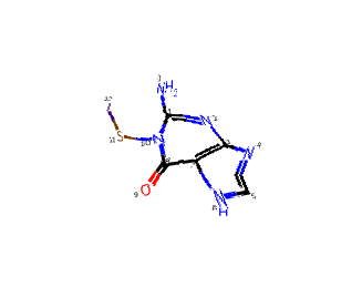 Nc1nc2nc[nH]c2c(=O)n1SI